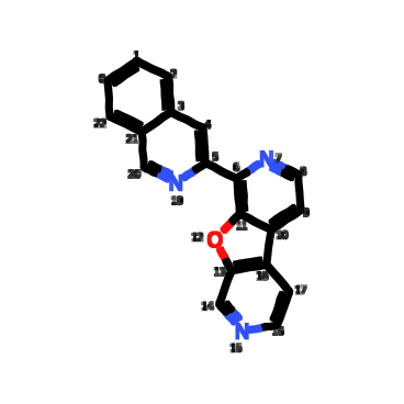 c1ccc2cc(-c3nccc4c3oc3cnccc34)ncc2c1